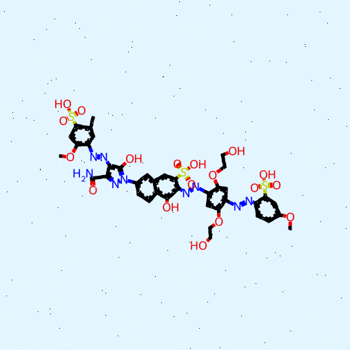 COc1ccc(/N=N/c2cc(OCCO)c(/N=N/c3c(S(=O)(=O)O)cc4cc(-n5nc(C(N)=O)c(/N=N/c6cc(C)c(S(=O)(=O)O)cc6OC)c5O)ccc4c3O)cc2OCCO)c(S(=O)(=O)O)c1